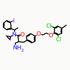 Cc1cc(Cl)c(OCCOc2ccc(CC(CN)C(=O)N(C3CC3)C(C)c3ccccc3I)cc2)c(Cl)c1